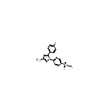 CS(=O)(=O)c1ccc(-n2nc(C(F)(F)F)cc2-c2ccc(F)cc2)nc1